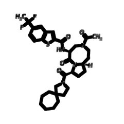 CC(=O)N1CC[C@H]2CC[C@@H](C(=O)N3CCC4(CCCCCC4)C3)N2C(=O)[C@@H](NC(=O)c2cc3cc(C(C)(F)F)ccc3s2)C1